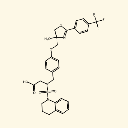 CC1(COc2ccc(CN(CC(=O)O)S(=O)(=O)N3CCCc4ccccc43)cc2)COC(c2ccc(C(F)(F)F)cc2)=N1